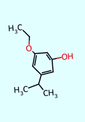 CCOc1cc(O)cc(C(C)C)c1